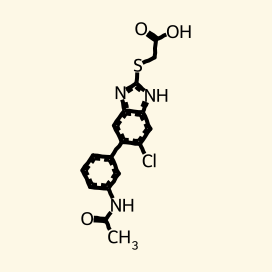 CC(=O)Nc1cccc(-c2cc3nc(SCC(=O)O)[nH]c3cc2Cl)c1